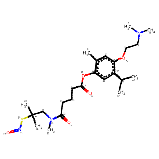 Cc1cc(OCCN(C)C)c(C(C)C)cc1OC(=O)CCCC(=O)N(C)CC(C)(C)SN=O